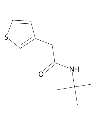 CC(C)(C)NC(=O)Cc1ccsc1